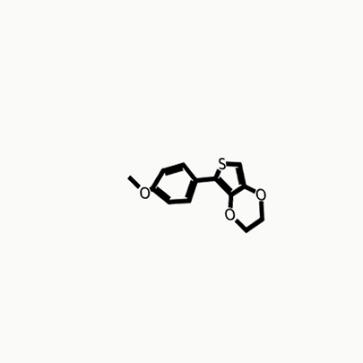 COc1ccc(-c2scc3c2OCCO3)cc1